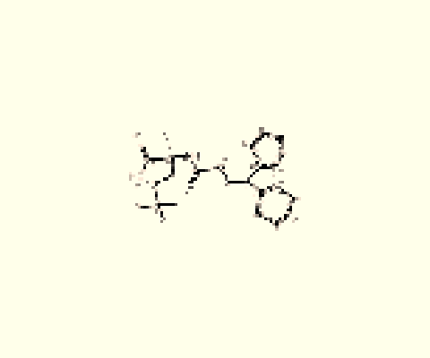 CC(C)(C)OC[C@](C)(NC(=O)OCC1c2ccccc2-c2ccccc21)C(=O)O